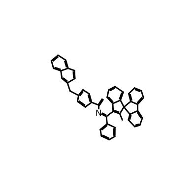 C=C(/N=C(\C1=C(C)C2(c3ccccc31)c1ccccc1-c1ccccc12)c1ccccc1)c1ccc(Cc2ccc3ccccc3c2)cc1